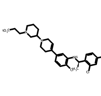 C[C@@H](Nc1cc(C2=CCN(C3CCCN(CCC(=O)O)C3)CC2)ccc1Cl)c1ccc(Cl)cc1Cl